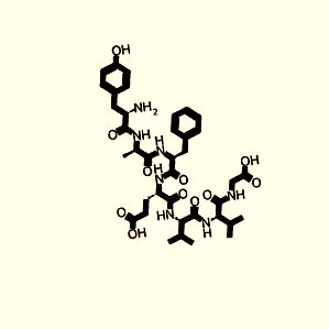 CC(C)[C@H](NC(=O)[C@H](CCC(=O)O)NC(=O)[C@H](Cc1ccccc1)NC(=O)[C@@H](C)NC(=O)[C@@H](N)Cc1ccc(O)cc1)C(=O)N[C@H](C(=O)NCC(=O)O)C(C)C